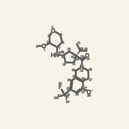 COC1COCCC1N[C@@H]1CC[C@@](C(=O)N2CCc3c(cc(C(F)(F)F)c[n+]3[O-])C2)(C(C)C)C1